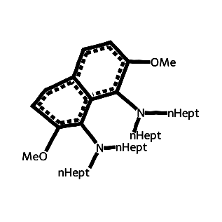 CCCCCCCN(CCCCCCC)c1c(OC)ccc2ccc(OC)c(N(CCCCCCC)CCCCCCC)c12